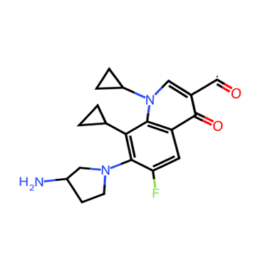 NC1CCN(c2c(F)cc3c(=O)c([C]=O)cn(C4CC4)c3c2C2CC2)C1